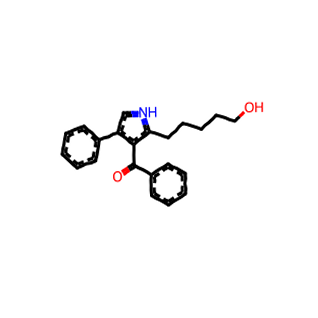 O=C(c1ccccc1)c1c(-c2ccccc2)c[nH]c1CCCCCO